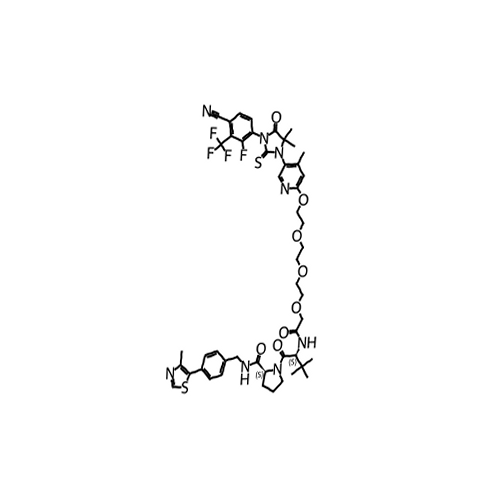 Cc1cc(OCCOCCOCCOCC(=O)N[C@H](C(=O)N2CCC[C@H]2C(=O)NCc2ccc(-c3scnc3C)cc2)C(C)(C)C)ncc1N1C(=S)N(c2ccc(C#N)c(C(F)(F)F)c2F)C(=O)C1(C)C